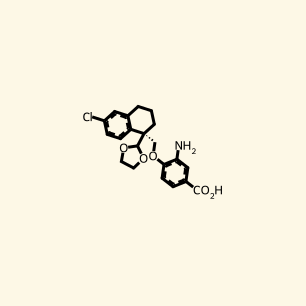 Nc1cc(C(=O)O)ccc1OC[C@@]1(C2OCCO2)CCCc2cc(Cl)ccc21